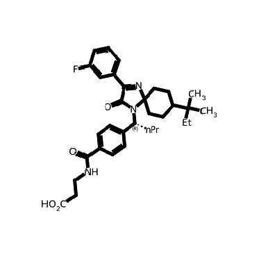 CCC[C@H](c1ccc(C(=O)NCCC(=O)O)cc1)N1C(=O)C(c2cccc(F)c2)=NC12CCC(C(C)(C)CC)CC2